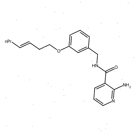 CCCC=CCCOc1cccc(CNC(=O)c2cccnc2N)c1